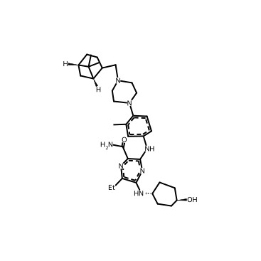 CCc1nc(C(N)=O)c(Nc2ccc(N3CCN(CC4CC[C@H]5C[C@@H]4C5(C)C)CC3)c(C)c2)nc1N[C@H]1CC[C@H](O)CC1